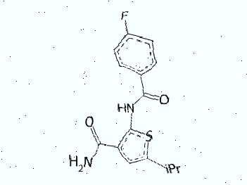 CC(C)c1cc(C(N)=O)c(NC(=O)c2ccc(F)cc2)s1